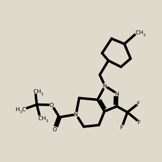 CC1CCC(Cn2nc(C(F)(F)F)c3c2CN(C(=O)OC(C)(C)C)CC3)CC1